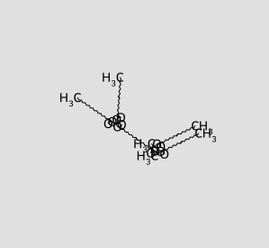 CCCCCCCCC=CCCCCCCCC(=O)OCC(C)OC(=O)C(CCCCCCC=CCCCCCCCC(=O)OC(COC(=O)CCCCCCCC=CCCCCCCCC)COC(=O)CCCCCCCCCCCCCCCCC)C(C)COC(=O)CCCCCCCC=CCCCCCCCC